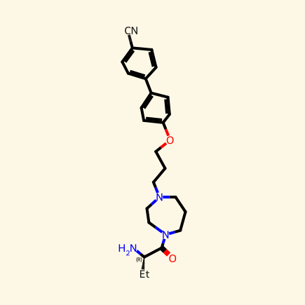 CC[C@@H](N)C(=O)N1CCCN(CCCOc2ccc(-c3ccc(C#N)cc3)cc2)CC1